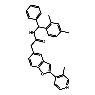 Cc1ccc(C(NC(=O)Cc2ccc3oc(-c4ccncc4C)cc3c2)c2ccccc2)c(C)c1